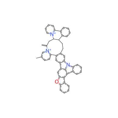 C=C1CC2C(CCc3cc4c(cc3-c3ccc(C)c[n+]31)c1cc3oc5ccccc5c3c3c5ccccc5n4c13)c1ccccc1-c1cccc[n+]12